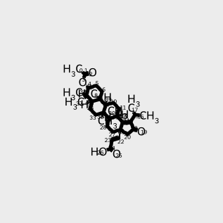 CC(=O)O[C@H]1CC[C@]2(C)[C@H]3CC[C@@H]4C5=C(C(C)C)C(=O)C[C@]5(C=CC(=O)O)CC[C@@]4(C)[C@]3(C)CC[C@H]2C1(C)C